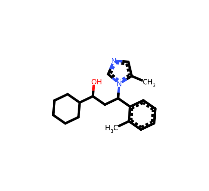 Cc1ccccc1C(CC(O)C1CCCCC1)n1cncc1C